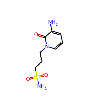 Nc1cccn(CCCS(N)(=O)=O)c1=O